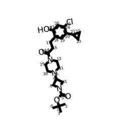 CC(C)(C)OC(=O)N1CC(N2CCN(C(=O)CCc3cc(C4CC4)c(Cl)cc3O)CC2)C1